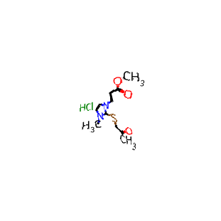 COC(=O)CCN1C=CN(C)C1SCC(C)=O.Cl